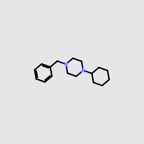 [c]1ccc(CN2CCN(C3CCCCC3)CC2)cc1